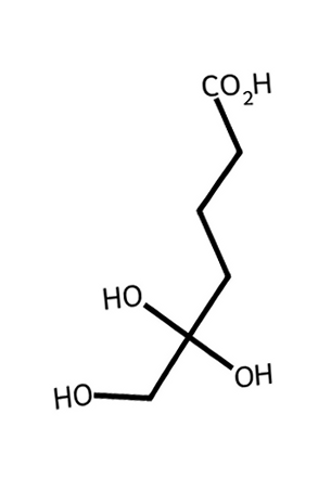 O=C(O)CCCC(O)(O)CO